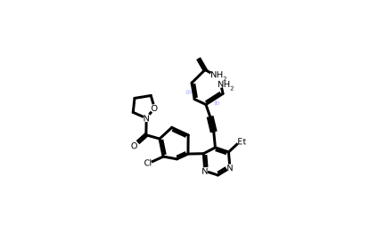 C=C(N)/C=C\C(C#Cc1c(CC)ncnc1-c1ccc(C(=O)N2CCCO2)c(Cl)c1)=C/N